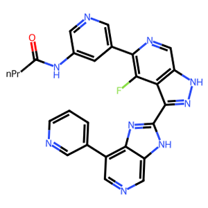 CCCC(=O)Nc1cncc(-c2ncc3[nH]nc(-c4nc5c(-c6cccnc6)cncc5[nH]4)c3c2F)c1